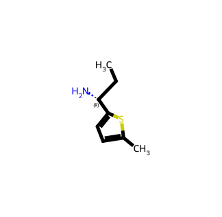 CC[C@@H](N)c1ccc(C)s1